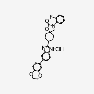 Cl.O=C1OC2(CCC(c3nc4cc(-c5ccc6c(c5)OCCO6)ccc4[nH]3)CC2)CN1c1ccccc1F